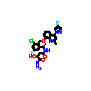 Cc1cc(-n2cc(F)cn2)c2cccc(OCc3c(Cl)cc(F)cc3[C@H](C)NC(=O)C[C@@H](O)C(N)=O)c2n1